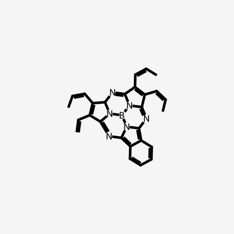 C=CC1=C(/C=C\C)C2N=c3c(/C=C\C)c(/C=C\C)c4n3B3N2C1=Nc1c2ccccc2c(n13)N=4